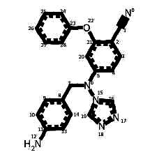 N#Cc1ccc(N(Cc2ccc(N)cc2)n2cnnc2)cc1Oc1ccccc1